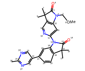 COCN1C(=O)C(C)(C)c2cnc(N3C(=O)C(C)(C)c4ccc(-c5cnc(C)nc5)cc43)cc21